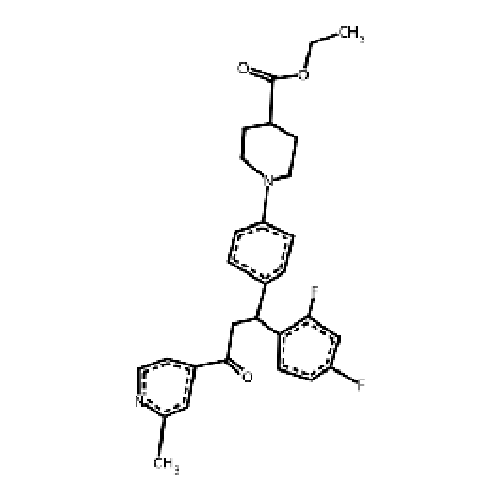 CCOC(=O)C1CCN(c2ccc(C(CC(=O)c3ccnc(C)c3)c3ccc(F)cc3F)cc2)CC1